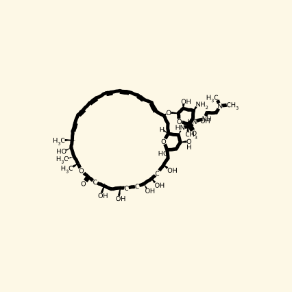 C[C@@H]1[C@H](O)[C@@H](C)/C=C/C=C/C=C/C=C/C=C/C=C/C=C/[C@H](O[C@@H]2O[C@H](C)[C@@H](O)[C@H](N)[C@@H]2O)C[C@@H]2O[C@](O)(C[C@@H](O)C[C@@H](O)[C@H](O)CC[C@@H](O)C[C@@H](O)CC(=O)O[C@H]1C)C[C@H](O)[C@H]2NC(=O)NNCCN(C)C